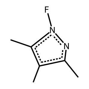 Cc1nn(F)c(C)c1C